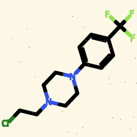 FC(F)(F)c1ccc(N2CCN(CCCl)CC2)cc1